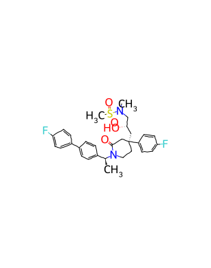 C[C@@H](c1ccc(-c2ccc(F)cc2)cc1)N1CC[C@](C[C@H](O)CN(C)S(C)(=O)=O)(c2ccc(F)cc2)CC1=O